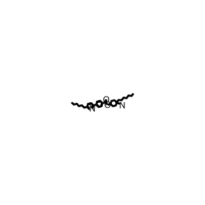 CCCCCCCC1(C#N)CCC(OC(=O)c2ccc(-c3ccc(CCCCCC)cn3)cc2)CC1